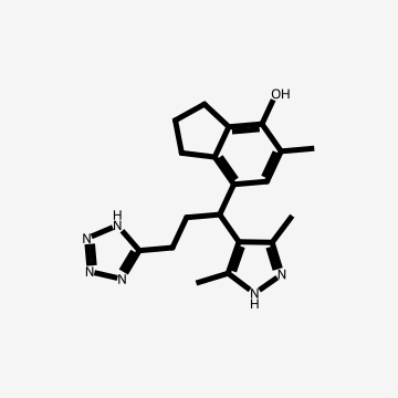 Cc1cc(C(CCc2nnn[nH]2)c2c(C)n[nH]c2C)c2c(c1O)CCC2